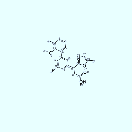 COc1c(C)cccc1-c1cc(F)cc(C(CC(=O)O)c2ncc(C)o2)c1